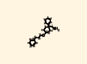 NCC1(c2ccccc2)CCC(OCCCc2ccccc2)CC1